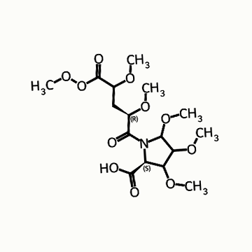 COOC(=O)C(C[C@@H](OC)C(=O)N1C(OC)C(OC)C(OC)[C@H]1C(=O)O)OC